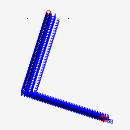 N.N.N.N.N.N.N.N.N.N.N.N.N.N.N.N.N.N.N.N.N.N.N.N.N.N.N.N.N.N.N.N.N.N.N.N.N.N.N.N.N.N.N.N.N.N.N.N.N.N.N.N.N.N.N.N.N.N.N.N.N.N.N.N.N.N.N.N.N.N.N.N.N.N.N.N.N.N.N.N.N.N.N.N.N.N.N.N.N.N.N.N.N.N.N.N.[N].[O].[O].[O]